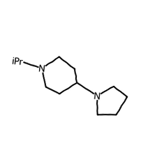 CC(C)N1CCC(N2CCCC2)CC1